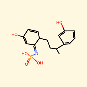 CC(CCC1C=CC(O)=CC1=NP(=O)(O)O)c1cccc(O)c1